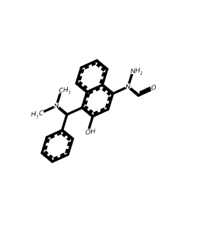 CN(C)C(c1ccccc1)c1c(O)cc(N(N)C=O)c2ccccc12